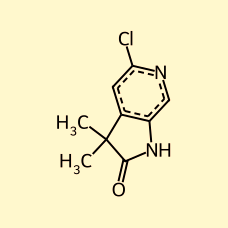 CC1(C)C(=O)Nc2cnc(Cl)cc21